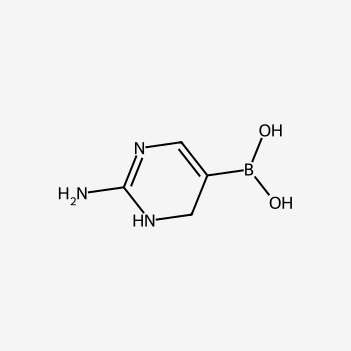 NC1=NC=C(B(O)O)CN1